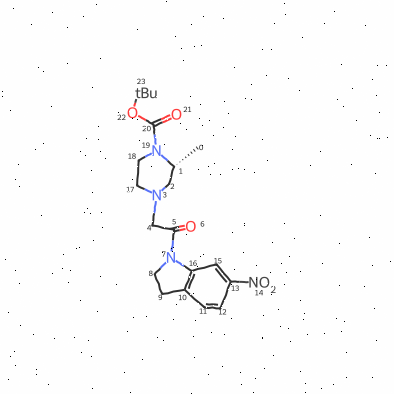 C[C@@H]1CN(CC(=O)N2CCc3ccc([N+](=O)[O-])cc32)CCN1C(=O)OC(C)(C)C